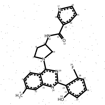 Cc1ccc2c(N3CCC(NC(=O)c4cccnc4)C3)nc(-c3c(O)cccc3F)nc2c1